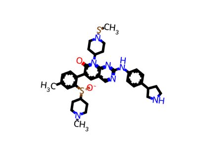 CSN1CCC(n2c(=O)c(-c3ccc(C)cc3[S+]([O-])C3CCN(C)CC3)cc3cnc(Nc4ccc(C5CCNC5)cc4)nc32)CC1